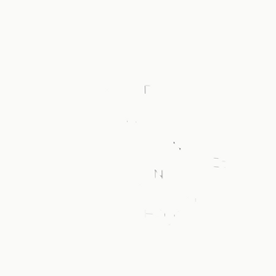 CCc1nc2c(OCc3c(F)cccc3F)cc(C)cn2c1OC(=O)O